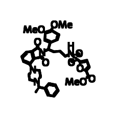 COC(=O)c1ccc(S(=O)(=O)NCCCC(c2ccc(OC)c(OC)c2)N2C(=O)c3cccc(N4CCN([C@H](C)c5ccccc5)CC4)c3C2=O)o1